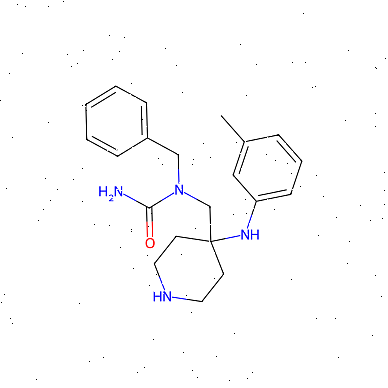 Cc1cccc(NC2(CN(Cc3ccccc3)C(N)=O)CCNCC2)c1